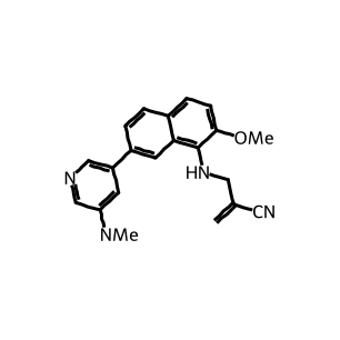 C=C(C#N)CNc1c(OC)ccc2ccc(-c3cncc(NC)c3)cc12